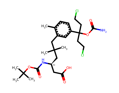 Cc1ccc(C(CCCl)(CCCl)OC(N)=O)cc1CC(C)(C)C[C@@H](CC(=O)O)NC(=O)OC(C)(C)C